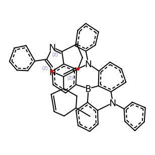 CC1CC=CC(C2=C/CC/C(c3cccc4c3N(c3ccccc3)c3cccc5c3B4c3ccccc3N5c3ccccc3)=N/C(c3ccccc3)=N\2)C1